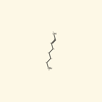 CCCCCCCCC=CO